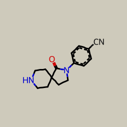 N#Cc1ccc(N2CCC3(CCNCC3)C2=O)cc1